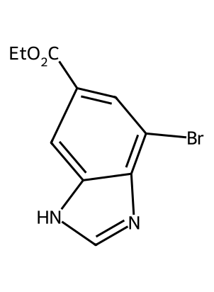 CCOC(=O)c1cc(Br)c2nc[nH]c2c1